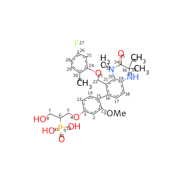 COc1cc(OCC(CO)P(=O)(O)O)ccc1-c1ccc2c(c1COc1cc(F)ccc1C)N(C)C(=O)C(C)(C)N2